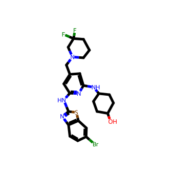 OC1CCC(Nc2cc(CN3CCCC(F)(F)C3)cc(Nc3nc4ccc(Br)cc4s3)n2)CC1